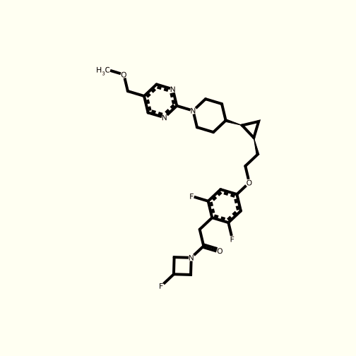 COCc1cnc(N2CCC([C@H]3C[C@H]3CCOc3cc(F)c(CC(=O)N4CC(F)C4)c(F)c3)CC2)nc1